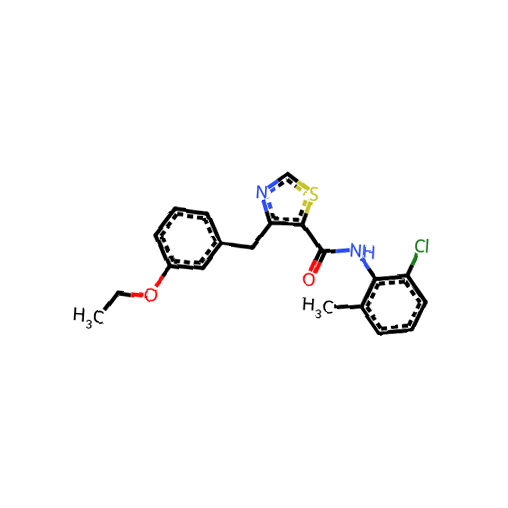 CCOc1cccc(Cc2ncsc2C(=O)Nc2c(C)cccc2Cl)c1